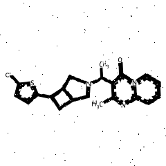 Cc1nc2ccccn2c(=O)c1C(C)N1CC2CC(c3ccc(Cl)s3)C2C1